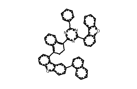 c1ccc(-c2nc(C3=c4ccccc4=C(c4cccc5oc6ccc(-c7cccc8ccccc78)cc6c45)CC3)nc(-c3cccc4oc5ccccc5c34)n2)cc1